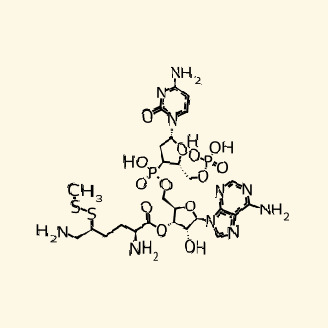 CSS[C@H](CN)CC[C@H](N)C(=O)O[C@H]1[C@@H](O)[C@H](n2cnc3c(N)ncnc32)O[C@@H]1COP(=O)(O)[C@H]1C[C@H](n2ccc(N)nc2=O)O[C@@H]1COP(=O)(O)O